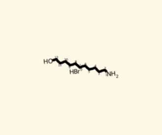 Br.NCCCCCCCCCCCO